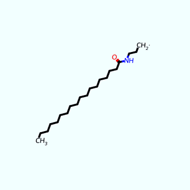 [CH2]CCNC(=O)CCCCCCCCCCCCCCCCC